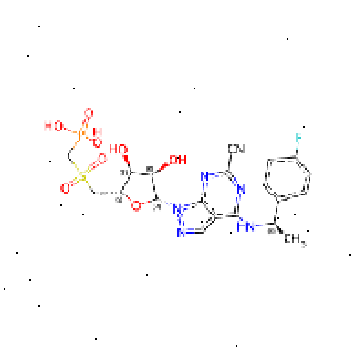 C[C@@H](Nc1nc(C#N)nc2c1cnn2[C@@H]1O[C@H](CS(=O)(=O)CP(=O)(O)O)[C@@H](O)[C@H]1O)c1ccc(F)cc1